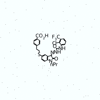 CCCN1C(=O)C(=NNC(=O)Nc2cccc(C(F)(F)F)c2Cl)c2cc(SCCc3ccc(C(=O)O)cc3)ccc21